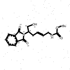 CC(C)(C)OC(=O)NCC=CCC(CO)N1C(=O)c2ccccc2C1=O